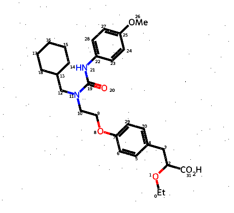 CCOC(Cc1ccc(OCCN(CC2CCCCC2)C(=O)Nc2ccc(OC)cc2)cc1)C(=O)O